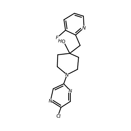 OC1(Cc2ncccc2F)CCN(c2cnc(Cl)cn2)CC1